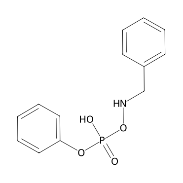 O=P(O)(ONCc1ccccc1)Oc1ccccc1